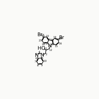 OC(Cn1cnc2ccccc21)Cn1c2ccc(Br)cc2c2cc(Br)ccc21